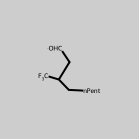 CCCCCCC(C[C]=O)C(F)(F)F